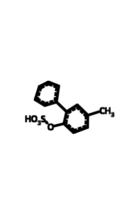 Cc1ccc(OS(=O)(=O)O)c(-c2ccccc2)c1